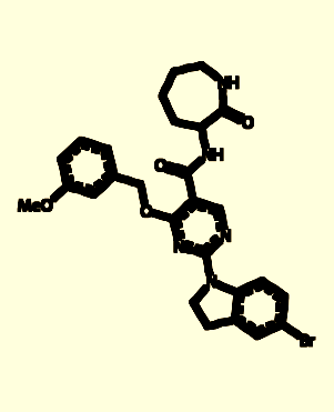 COc1cccc(COc2nc(N3CCc4cc(Br)ccc43)ncc2C(=O)NC2CCCCNC2=O)c1